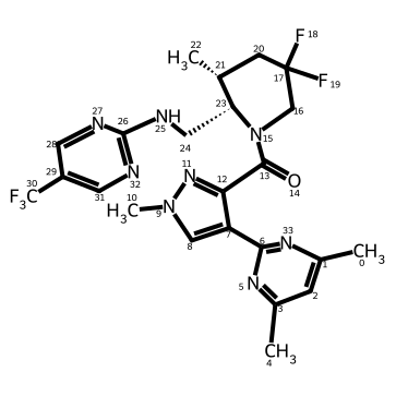 Cc1cc(C)nc(-c2cn(C)nc2C(=O)N2CC(F)(F)C[C@@H](C)[C@H]2CNc2ncc(C(F)(F)F)cn2)n1